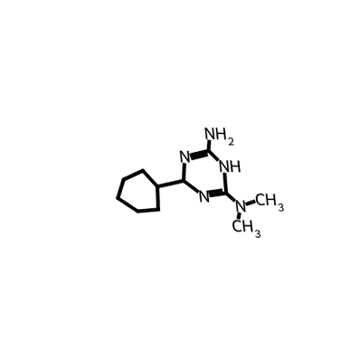 CN(C)C1=NC(C2CCCCC2)N=C(N)N1